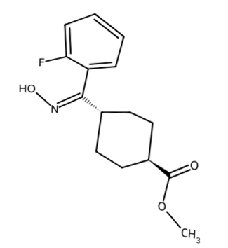 COC(=O)[C@H]1CC[C@H](/C(=N/O)c2ccccc2F)CC1